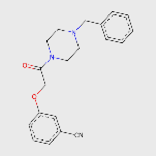 N#Cc1cccc(OCC(=O)N2CCN(Cc3ccccc3)CC2)c1